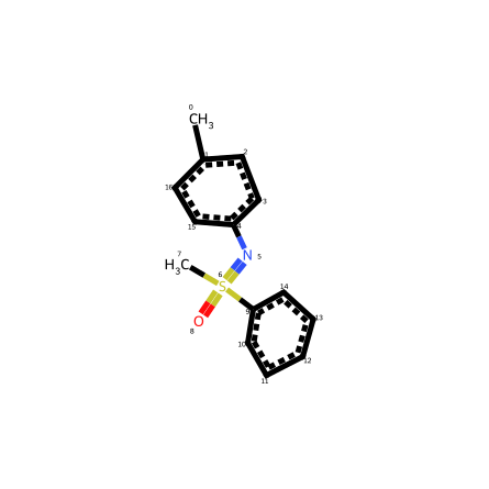 Cc1ccc(N=S(C)(=O)c2ccccc2)cc1